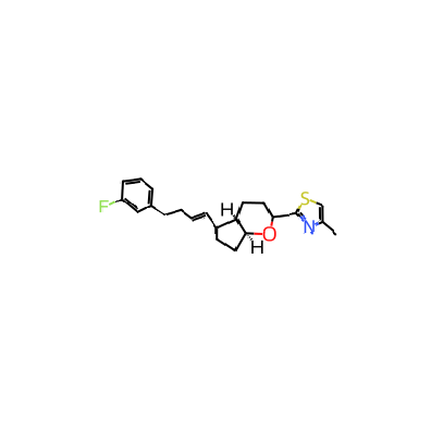 Cc1csc(C2CC[C@@H]3C(/C=C/CCc4cccc(F)c4)CC[C@@H]3O2)n1